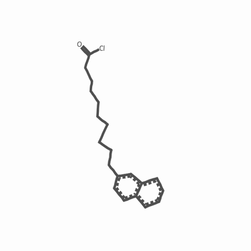 O=C(Cl)CCCCCCCCCc1ccc2ccccc2c1